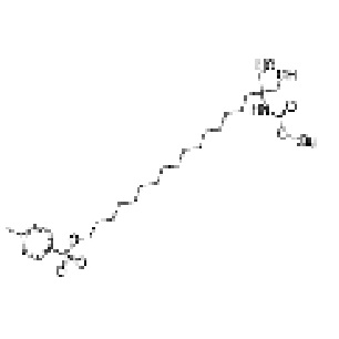 Cc1ccc(S(=O)(=O)OCCCCCCCCCCCCCCCCC(CO)(CO)NC(=O)OC(C)(C)C)cc1